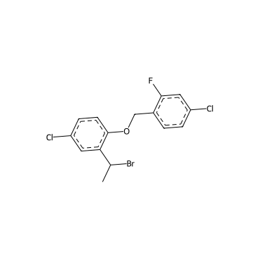 CC(Br)c1cc(Cl)ccc1OCc1ccc(Cl)cc1F